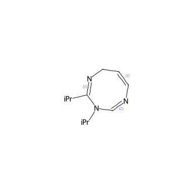 CC(C)/C1=N/C/C=C\N=C/N1C(C)C